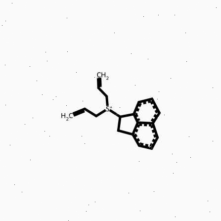 C=CC[S+](CC=C)C1Cc2cccc3cccc1c23